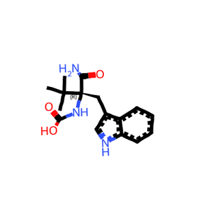 CC(C)(C)[C@@](Cc1c[nH]c2ccccc12)(NC(=O)O)C(N)=O